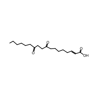 CCCCCCC(=O)CCC(=O)CCCCC/C=C/C(=O)O